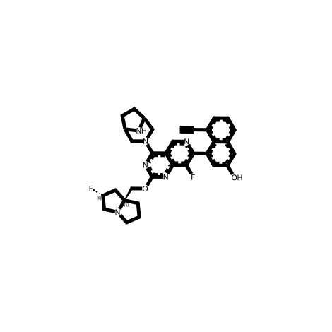 C#Cc1cccc2cc(O)cc(-c3ncc4c(N5CC6CCC(C5)N6)nc(OC[C@@]56CCCN5C[C@H](F)C6)nc4c3F)c12